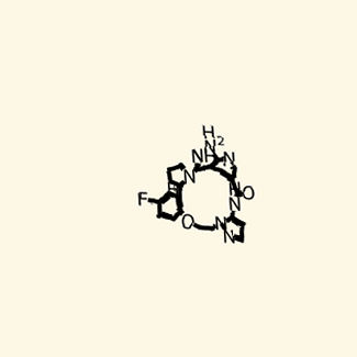 N=C1c2cc(cnc2N)C(=O)Nc2ccnn2CCOc2ccc(F)cc2[C@H]2CCCN12